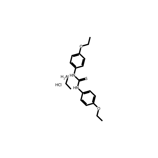 CCOc1ccc(NC(=S)Nc2ccc(OCC)cc2)cc1.C[CH2][AlH2].Cl